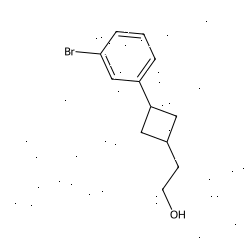 OCCC1CC(c2cccc(Br)c2)C1